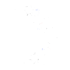 COc1ccc2[nH]c(C)c(CC(=O)N[C@@H]3CCCCCC(C(=O)NCc4ccc(F)cc4F)CO3)c2c1